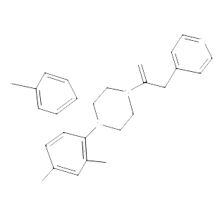 Cc1ccc(N2CCN(C(=O)Cc3ccncc3)C[C@H]2c2ccc(Cl)cc2)c(Cl)c1